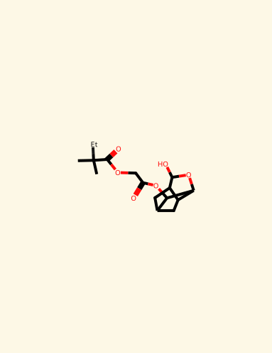 CCC(C)(C)C(=O)OCC(=O)OC1C2CC3C(O)OC1C3C2